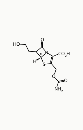 NC(=O)OCC1=C(C(=O)O)N2C(=O)C(CCO)[C@H]2S1